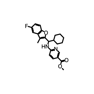 COC(=O)c1ccc(NC(c2oc3ccc(F)cc3c2C)C2CCCCC2)nc1